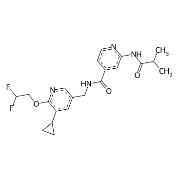 CC(C)C(=O)Nc1cc(C(=O)NCc2cnc(OCC(F)F)c(C3CC3)c2)ccn1